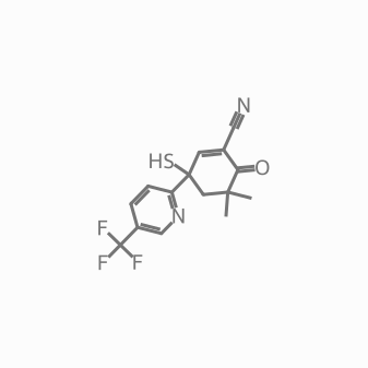 CC1(C)CC(S)(c2ccc(C(F)(F)F)cn2)C=C(C#N)C1=O